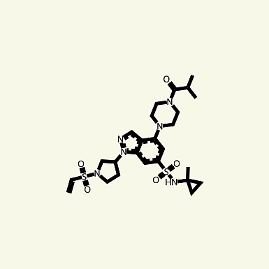 C=CS(=O)(=O)N1CCC(n2ncc3c(N4CCN(C(=O)C(C)C)CC4)cc(S(=O)(=O)NC4(C)CC4)cc32)C1